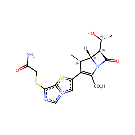 C[C@@H](O)[C@H]1C(=O)N2C(C(=O)O)=C(c3cn4cnc(SCC(N)=O)c4s3)[C@H](C)[C@H]12